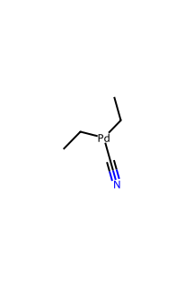 C[CH2][Pd]([C]#N)[CH2]C